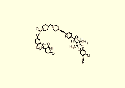 CC1(C)[C@H](NC(=O)c2ccc(C#CC3CCN(CC4CCN(C(=O)COc5ccc6nnn(C7CCC(=O)NC7=O)c(=O)c6c5)CC4)CC3)nc2)C(C)(C)[C@H]1Oc1ccc(C#N)c(Cl)c1